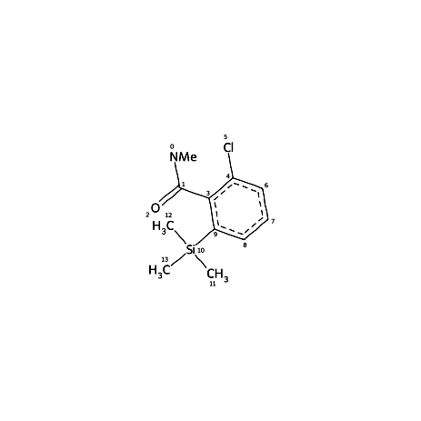 CNC(=O)c1c(Cl)cccc1[Si](C)(C)C